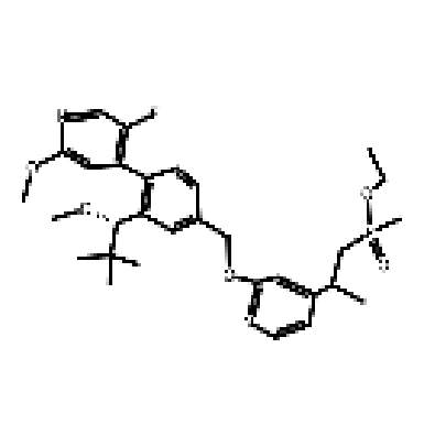 CCOP(C)(=O)CC(C)c1ccnc(OCc2ccc(-c3cc(OC)ncc3F)c([C@@H](OC)C(C)(C)C)c2)c1